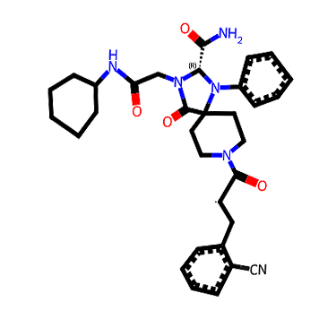 N#Cc1ccccc1C[CH]C(=O)N1CCC2(CC1)C(=O)N(CC(=O)NC1CCCCC1)[C@H](C(N)=O)N2c1ccccc1